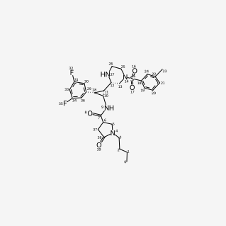 CCCCN1CC(C(=O)NC2[C@@H]([C@H]3CN(S(=O)(=O)c4cccc(C)c4)CCN3)[C@H]2c2cc(F)cc(F)c2)CC1=O